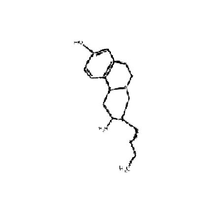 CCCCC1CN2CCc3cc(O)ccc3C2CC1N